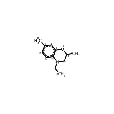 CCN1CC(C)Oc2cc(C)ccc21